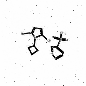 NS(=O)(=O)c1cccnc1.Oc1ccc(Br)n1C1CCC1